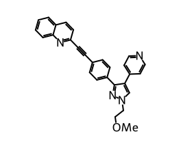 COCCn1cc(-c2ccncc2)c(-c2ccc(C#Cc3ccc4ccccc4n3)cc2)n1